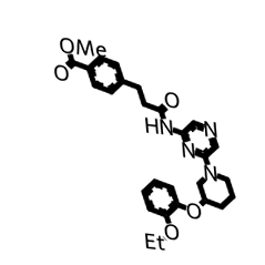 CCOc1ccccc1OC1CCCN(c2cncc(NC(=O)CCc3ccc(C(=O)OC)cc3)n2)C1